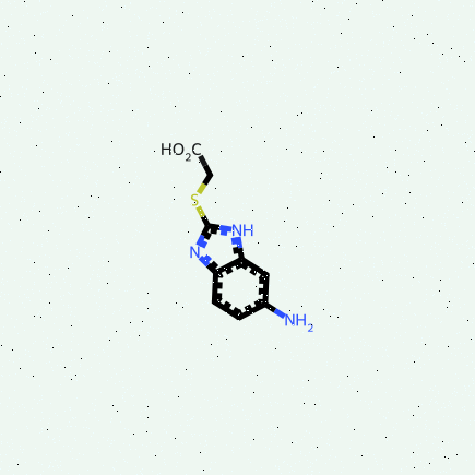 Nc1ccc2nc(SCC(=O)O)[nH]c2c1